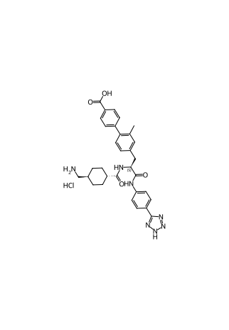 Cc1cc(C[C@H](NC(=O)[C@H]2CC[C@H](CN)CC2)C(=O)Nc2ccc(-c3nn[nH]n3)cc2)ccc1-c1ccc(C(=O)O)cc1.Cl